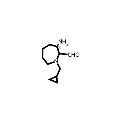 N[C@@H]1CCCCN(CC2CC2)C1C=O